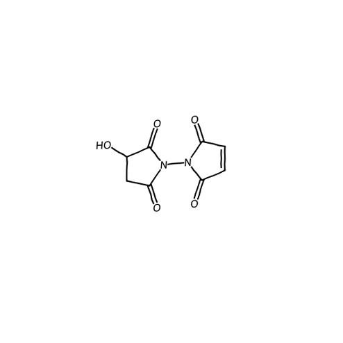 O=C1C=CC(=O)N1N1C(=O)CC(O)C1=O